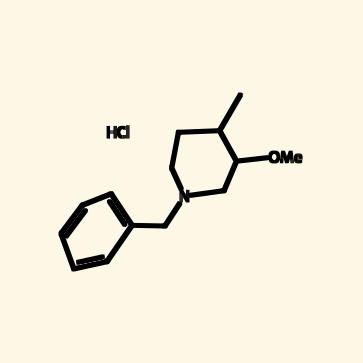 COC1CN(Cc2ccccc2)CCC1C.Cl